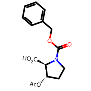 CC(=O)O[C@H]1CCN(C(=O)OCc2ccccc2)[C@@H]1C(=O)O